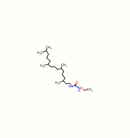 CCONC(=O)NCCC(C)CCCC(C)CCCC(C)CCCC(C)C